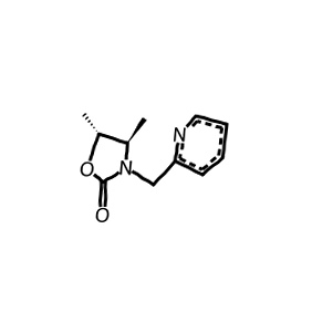 C[C@@H]1[C@@H](C)OC(=O)N1Cc1ccccn1